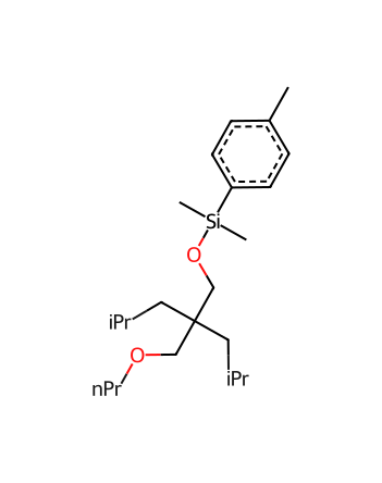 CCCOCC(CO[Si](C)(C)c1ccc(C)cc1)(CC(C)C)CC(C)C